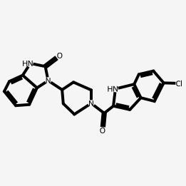 O=C(c1cc2cc(Cl)ccc2[nH]1)N1CCC(n2c(=O)[nH]c3ccccc32)CC1